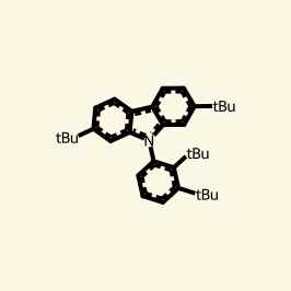 CC(C)(C)c1ccc2c3ccc(C(C)(C)C)cc3n(-c3cccc(C(C)(C)C)c3C(C)(C)C)c2c1